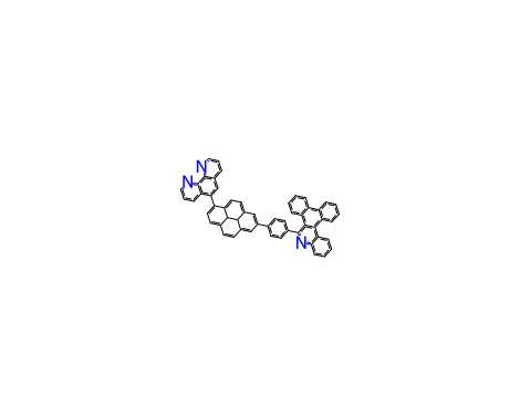 C1=CC2=CC=C(c3cc4cccnc4c4ncccc34)C3=CC=C4C=C(c5ccc(-c6nc7ccccc7c7c8ccccc8c8ccccc8c67)cc5)C=C1C4C23